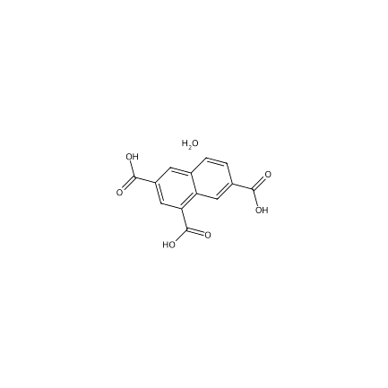 O.O=C(O)c1cc(C(=O)O)c2cc(C(=O)O)ccc2c1